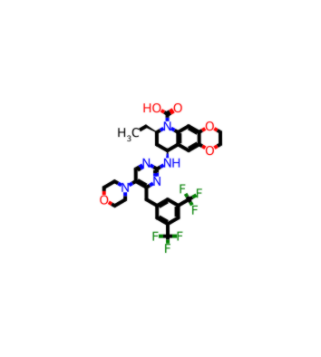 CC[C@@H]1C[C@H](Nc2ncc(N3CCOCC3)c(Cc3cc(C(F)(F)F)cc(C(F)(F)F)c3)n2)c2cc3c(cc2N1C(=O)O)OCCO3